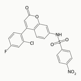 O=c1cc(-c2ccc(F)cc2Cl)c2ccc(NS(=O)(=O)c3ccc([N+](=O)[O-])cc3)cc2o1